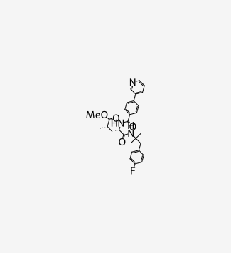 COC(=O)[C@@H](C)C[C@H](NC(=O)c1ccc(-c2cccnc2)cc1)C(=O)NC(C)(C)Cc1ccc(F)cc1